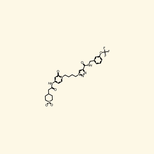 O=C(CC1CCS(=O)(=O)CC1)Nc1ccn(CCCCn2cc(C(=O)NCc3cccc(OC(F)(F)F)c3)nn2)c(=O)c1